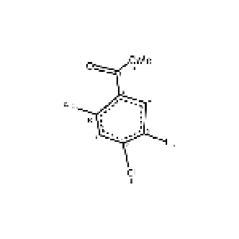 COC(=O)c1cc(I)c(Cl)cc1F